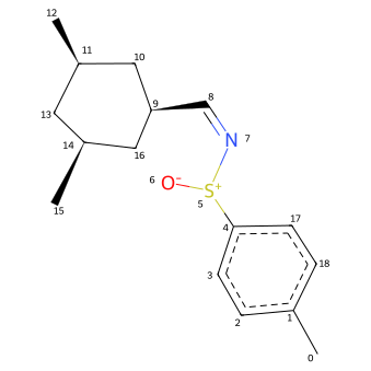 Cc1ccc([S+]([O-])/N=C\[C@@H]2C[C@H](C)C[C@H](C)C2)cc1